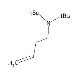 C=CCCN(C(C)(C)C)C(C)(C)C